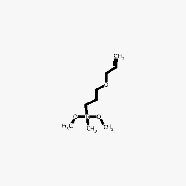 C=CCOCC[CH2][Ti]([CH3])([O]C)[O]C